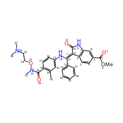 COC(=O)c1ccc2c(c1)NC(=O)/C2=C(\Nc1ccc(C(=O)N(C)OCCN(C)C)c(C)c1)c1ccccc1